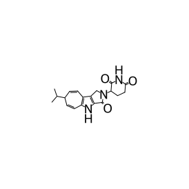 CC(C)C1C=Cc2[nH]c3c(c2C=C1)CN(C1CCC(=O)NC1=O)C3=O